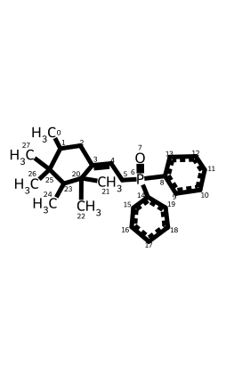 CC1C/C(=C/CP(=O)(c2ccccc2)c2ccccc2)C(C)(C)C(C)C1(C)C